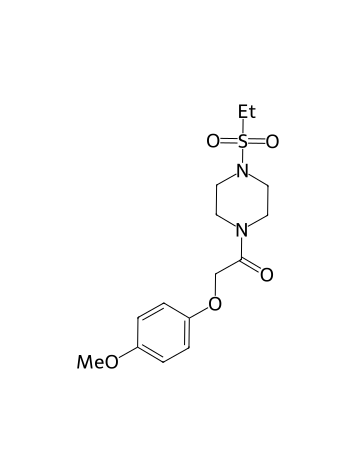 CCS(=O)(=O)N1CCN(C(=O)COc2ccc(OC)cc2)CC1